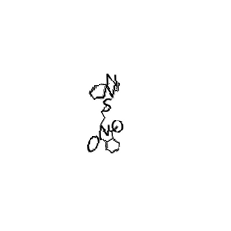 O=C1c2ccccc2C(=O)N1CCCSc1cccc2nccn12